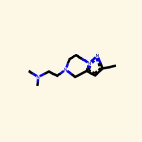 Cc1cc2n(n1)CCN(CCN(C)C)C2